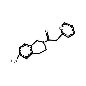 Nc1ccc2c(c1)CCN(C(=O)Cc1ccccn1)C2